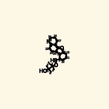 CC(C)(O)C(C)(C)OBc1cccc2oc3c4cccnc4ccc3c12